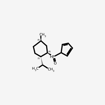 CC(C)[C@@H]1CC[C@@H](C)C[C@H]1[PH](=O)C1C=CC=C1